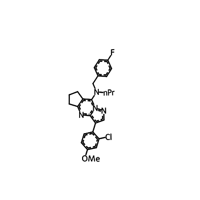 CCCN(Cc1ccc(F)cc1)c1c2c(nc3c(-c4ccc(OC)cc4Cl)cnn13)CCC2